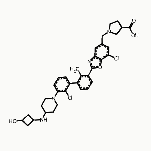 Cc1c(-c2nc3cc(CN4CC[C@@H](C(=O)O)C4)cc(Cl)c3o2)cccc1-c1cccc(N2CCC(NC3CC(O)C3)CC2)c1Cl